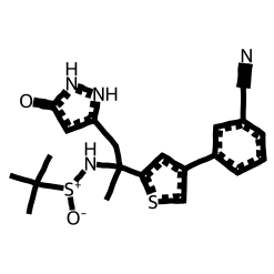 CC(Cc1cc(=O)[nH][nH]1)(N[S+]([O-])C(C)(C)C)c1cc(-c2cccc(C#N)c2)cs1